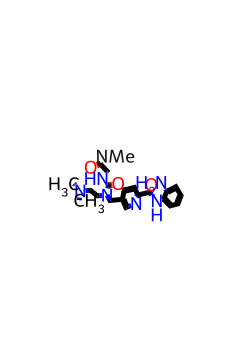 CNC(=O)CNC(=O)N(CCN(C)C)Cc1ccc(C(=O)Nc2ccccc2N)nc1